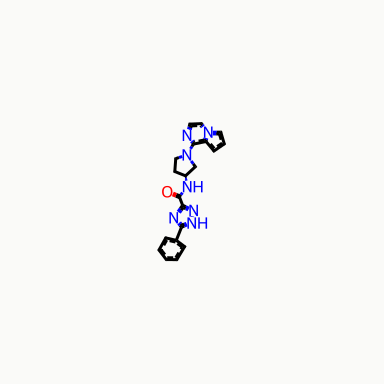 O=C(N[C@H]1CCN(c2nccn3cccc23)C1)c1n[nH]c(-c2ccccc2)n1